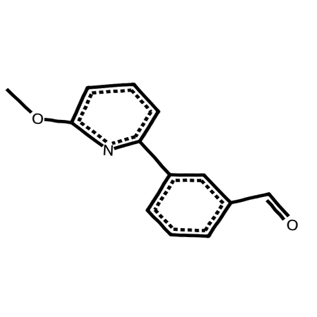 COc1cccc(-c2cccc(C=O)c2)n1